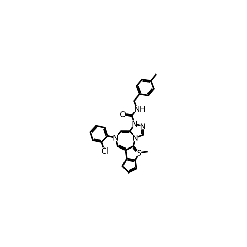 Cc1ccc(CNC(=O)N2N=CN3C2=CN(c2ccccc2Cl)C=C2C4=C(C=CC4)S(C)=C23)cc1